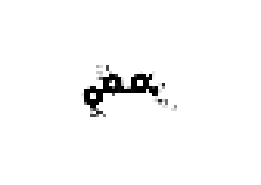 COC(=O)c1cc(Cc2ccc(OC)c(-c3cccc(C)c3)c2)ccc1F